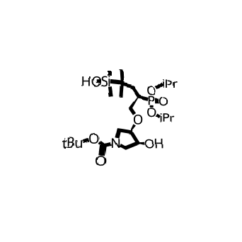 CC(C)OP(=O)(OC(C)C)[C@@H](CO[C@@H]1CN(C(=O)OC(C)(C)C)C[C@@H]1O)CC(C)(C)[Si](C)(C)O